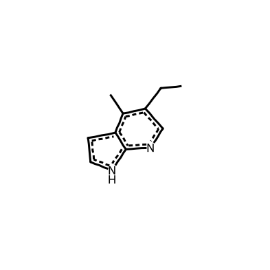 CCc1cnc2[nH]ccc2c1C